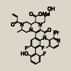 C=CC(=O)N1CC2C(C(=O)OC)N(CCCO)c3c(c4cc(F)c(-c5c(O)cccc5F)c(F)c4n(-c4c(C)ccnc4C(C)C)c3=O)N2CC1C